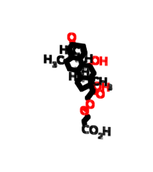 CC1C[C@@H]2[C@H](C(O)C[C@@]3(C)[C@H]2CC[C@]3(O)C(=O)COOCCC(=O)O)[C@@]2(C)C=CC(=O)C=C12